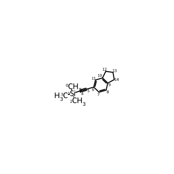 C[Si](C)(C)C#Cc1ccc2c(c1)CCC2